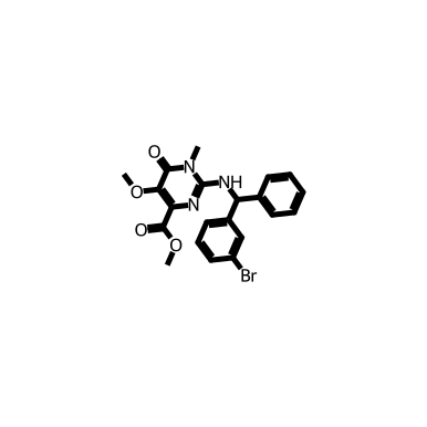 COC(=O)c1nc(NC(c2ccccc2)c2cccc(Br)c2)n(C)c(=O)c1OC